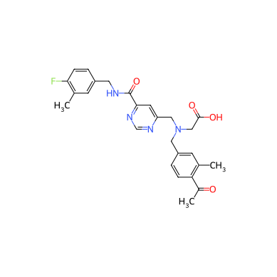 CC(=O)c1ccc(CN(CC(=O)O)Cc2cc(C(=O)NCc3ccc(F)c(C)c3)ncn2)cc1C